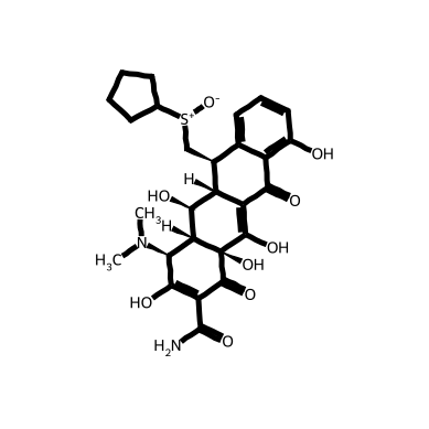 CN(C)[C@@H]1C(O)=C(C(N)=O)C(=O)[C@@]2(O)C(O)=C3C(=O)c4c(O)cccc4[C@H](C[S+]([O-])C4CCCC4)[C@H]3[C@H](O)[C@@H]12